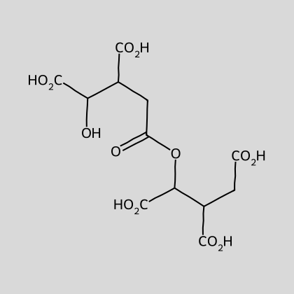 O=C(O)CC(C(=O)O)C(OC(=O)CC(C(=O)O)C(O)C(=O)O)C(=O)O